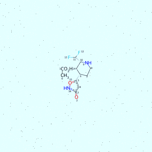 CC(=O)O.O=c1cc([C@H]2CCN[C@@H](C(F)F)C2)o[nH]1